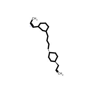 C=CC[C@H]1CC[C@H](CCCCC2CCCC(/C=C\C)C2)CC1